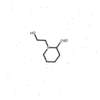 O=CC1CCCCN1CCO